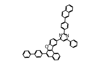 c1ccc(-c2ccc(-c3cc4ccccc4c4c3oc3ccc(-c5cc(-c6ccccc6)nc(-c6ccc(-c7ccc8ccccc8c7)cc6)n5)cc34)cc2)cc1